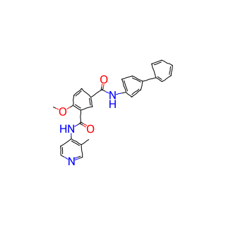 COc1ccc(C(=O)Nc2ccc(-c3ccccc3)cc2)cc1C(=O)Nc1ccncc1C